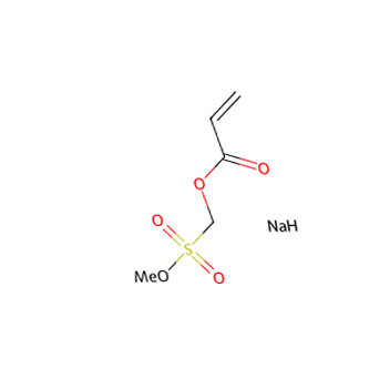 C=CC(=O)OCS(=O)(=O)OC.[NaH]